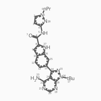 CCCn1ccc(NC(=O)c2cc3ccc(-c4nn(C(C)(C)C)c5ncnc(N)c45)cc3[nH]2)n1